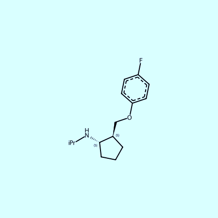 CC(C)N[C@H]1CCC[C@@H]1COc1ccc(F)cc1